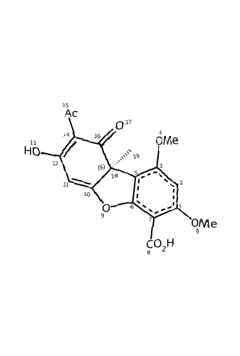 COc1cc(OC)c2c(c1C(=O)O)OC1=CC(O)=C(C(C)=O)C(=O)[C@]12C